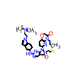 CCCN1C(=O)COc2ccc(-n3c4nc(Nc5ccc6c(ccn6CCN(C)C)c5)ncc4c(=O)n3CC=S)nc21